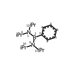 CC(C)N(B(c1cc[c]cc1)N(C(C)C)C(C)C)C(C)C